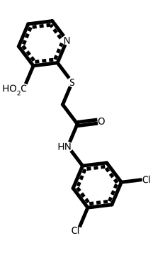 O=C(CSc1ncccc1C(=O)O)Nc1cc(Cl)cc(Cl)c1